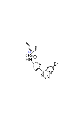 C=C/C=C(\C=C)S(=O)(=O)Nc1ccc(-c2ncnn3cc(Br)cc23)cc1